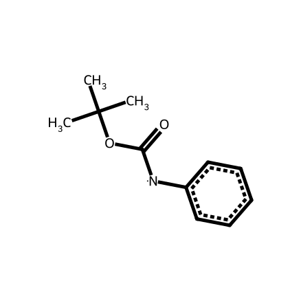 CC(C)(C)OC(=O)[N]c1ccccc1